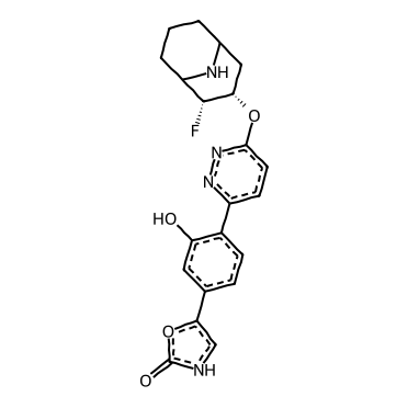 O=c1[nH]cc(-c2ccc(-c3ccc(O[C@H]4CC5CCCC(N5)[C@H]4F)nn3)c(O)c2)o1